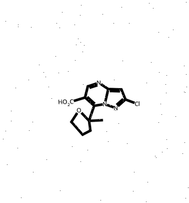 CC1(c2c(C(=O)O)cnc3cc(Cl)nn23)CCCO1